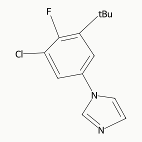 CC(C)(C)c1cc(-n2ccnc2)cc(Cl)c1F